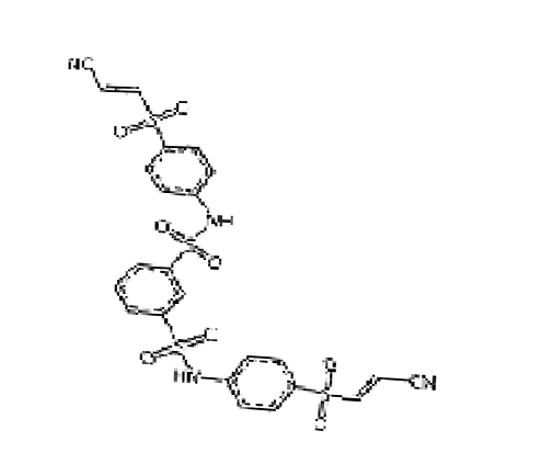 N#CC=CS(=O)(=O)c1ccc(NS(=O)(=O)c2cccc(S(=O)(=O)Nc3ccc(S(=O)(=O)C=CC#N)cc3)c2)cc1